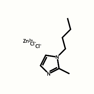 CCCCn1ccnc1C.[Cl-].[Cl-].[Zn+2]